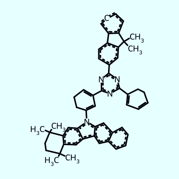 CC1(C)CCC(C)(C)c2cc3c(cc21)c1cc2ccccc2cc1n3C1=CC(c2nc(C3=CC=CCC3)nc(-c3ccc4c(c3)C(C)(C)c3ccccc3-4)n2)=CCC1